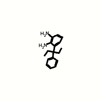 CCC(CC)(c1ccccc1)c1cccc(N)c1N